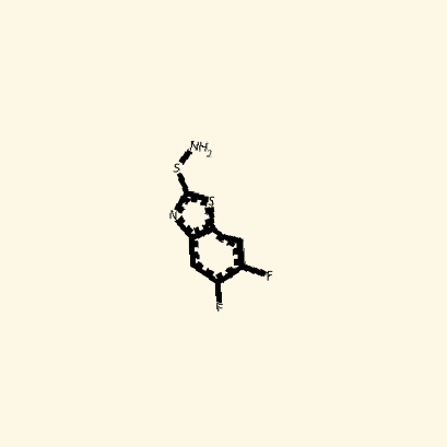 NSc1nc2cc(F)c(F)cc2s1